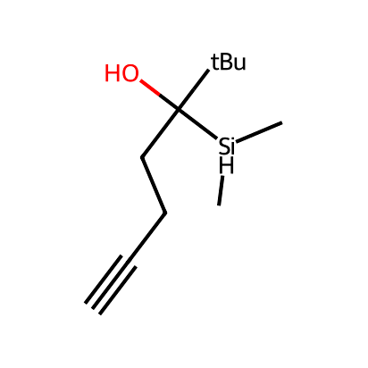 C#CCCC(O)([SiH](C)C)C(C)(C)C